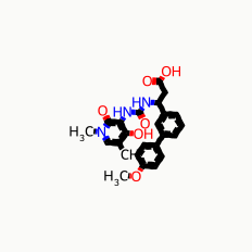 COc1ccc(-c2cccc(C(CC(=O)O)NC(=O)Nc3c(O)c(C)cn(C)c3=O)c2)cc1